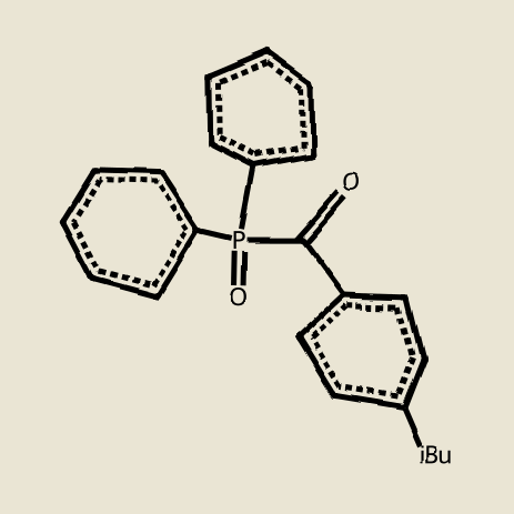 CCC(C)c1ccc(C(=O)P(=O)(c2ccccc2)c2ccccc2)cc1